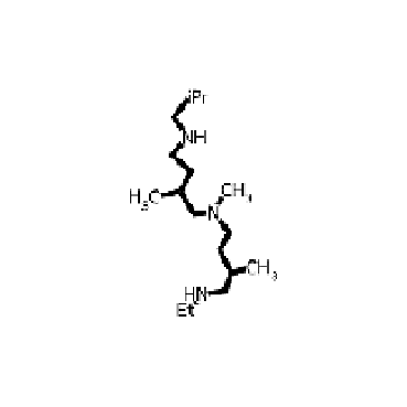 CCNCC(C)CCN(C)CC(C)CCNCC(C)C